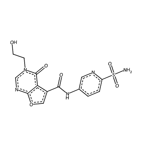 NS(=O)(=O)c1ccc(NC(=O)c2coc3ncn(CCO)c(=O)c23)cn1